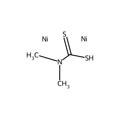 CN(C)C(=S)S.[Ni].[Ni]